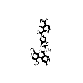 COc1cnc(Cl)cc1-c1cc(C)ncc1C(=O)Nc1nc2c(s1)CN(C(=O)c1nccc(C(F)F)c1F)C2